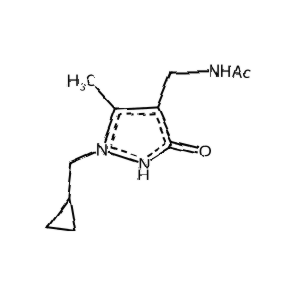 CC(=O)NCc1c(C)n(CC2CC2)[nH]c1=O